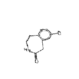 O=C1Cc2cc(Cl)ccc2CCN1